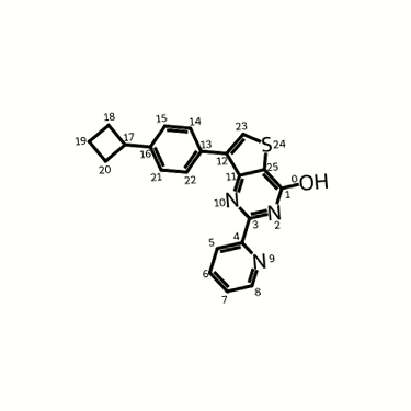 Oc1nc(-c2ccccn2)nc2c(-c3ccc(C4CCC4)cc3)csc12